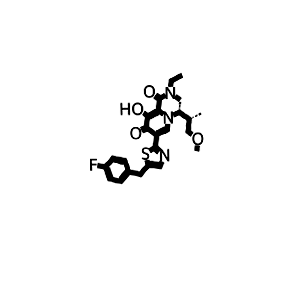 CCN1C[C@H]([C@H](C)COC)n2cc(-c3ncc(Cc4ccc(F)cc4)s3)c(=O)c(O)c2C1=O